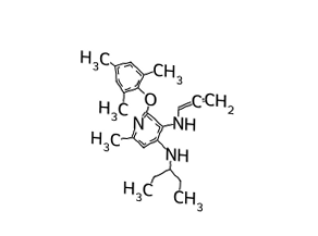 C=C=CNc1c(NC(CC)CC)cc(C)nc1Oc1c(C)cc(C)cc1C